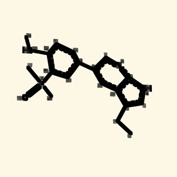 CCc1c[nH]c2ncc(-c3ccc(NC)c(P(C)(C)=O)c3)cc12